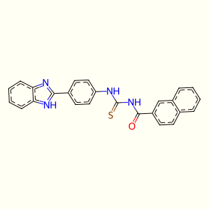 O=C(NC(=S)Nc1ccc(-c2nc3ccccc3[nH]2)cc1)c1ccc2ccccc2c1